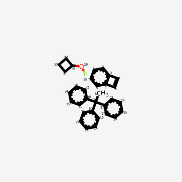 C1=Cc2ccccc21.CC(c1ccccc1)(c1ccccc1)c1ccccc1.FOC1CCC1